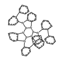 c1ccc(-c2ccccc2N2B3N(B4N(B5N3c3ccccc3N5c3ccccc3-c3ccccc3)c3ccccc3N4c3ccccc3-c3ccccc3)c3ccccc32)cc1